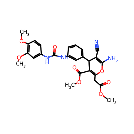 COC(=O)CC1=C(C(=O)OC)C(c2cccc(NC(=O)Nc3ccc(OC)c(OC)c3)c2)C(C#N)=C(N)O1